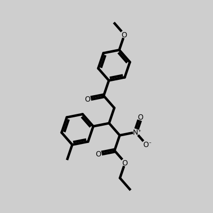 CCOC(=O)C(C(CC(=O)c1ccc(OC)cc1)c1cccc(C)c1)[N+](=O)[O-]